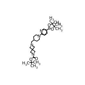 CC(C)(C)OC(=O)N1CC2(CN(CC3CCN(c4ccc(B5OC(C)(C)C(C)(C)O5)cn4)CC3)C2)C1